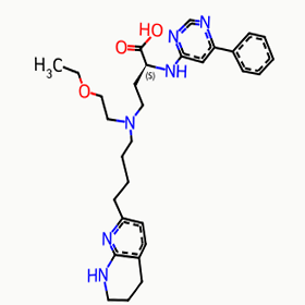 CCOCCN(CCCCc1ccc2c(n1)NCCC2)CC[C@H](Nc1cc(-c2ccccc2)ncn1)C(=O)O